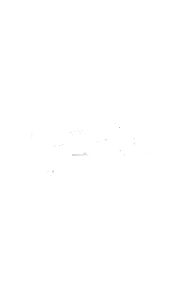 CCOc1ccc(-c2noc(Cl)n2)cc1OC